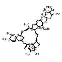 CCC(C)[C@H]1O[C@]2(C=C[C@@H]1C)C[C@@H]1C[C@@H](C/C=C(\C)[C@@H](OC3C[C@H](OC)[C@@H](OC4C[C@H](OC)[C@@](C)(NC=O)[C@H](C)O4)[C@H](C)O3)C(C)/C=C/C=C3\CO[C@@H]4[C@H](O)C(C)=C[C@@H](C(=O)O1)[C@]34O)O2